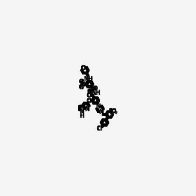 COC1(C)CCC(c2ccc(Cl)cc2)=C(CN2CCN(c3ccc(C(=O)NS(=O)(=O)c4ccc(NCC5CCOCC5)c([N+](=O)[O-])c4)c(Oc4cnc5[nH]ccc5c4)c3)CC2)C1